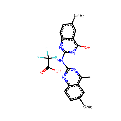 COc1ccc2nc(Nc3nc(O)c4cc(NC(C)=O)ccc4n3)nc(C)c2c1.O=C(O)C(F)(F)F